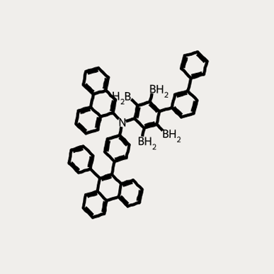 Bc1c(B)c(N(c2ccc(-c3c(-c4ccccc4)c4ccccc4c4ccccc34)cc2)c2cc3ccccc3c3ccccc23)c(B)c(B)c1-c1cccc(-c2ccccc2)c1